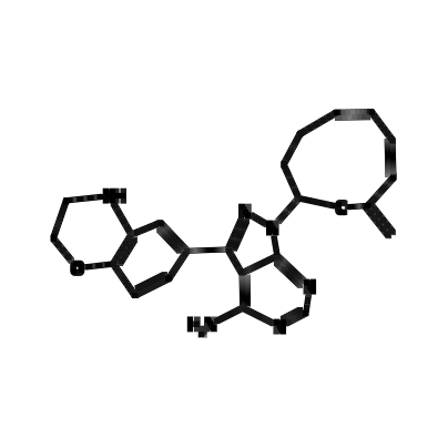 C=C1/C=C\C=C/CCC(n2nc(-c3ccc4c(c3)NCCO4)c3c(N)ncnc32)C1